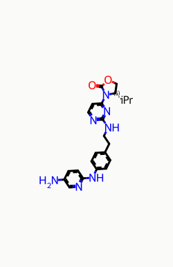 CC(C)[C@H]1COC(=O)N1c1ccnc(NCCc2ccc(Nc3ccc(N)cn3)cc2)n1